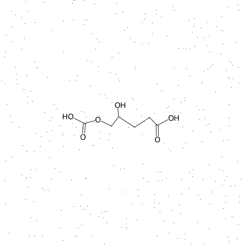 O=C(O)CCC(O)COC(=O)O